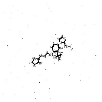 NC1SC=CN1c1ccc(OCCCC2CCCC2)c(C(F)(F)F)c1